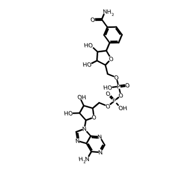 NC(=O)c1cccc(C2OC(COP(=O)(O)OP(=O)(O)OCC3OC(n4cnc5c(N)ncnc54)C(O)C3O)C(O)C2O)c1